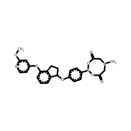 COc1cc(Oc2cccc3c2CCC3Oc2ccc(B3OC(=O)CN(C)CC(=O)O3)cc2)ccn1